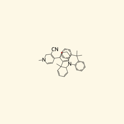 CN1C=CC(C2=CCCC=C2C2(C)C=CC=CC2N2c3ccccc3C(C)(C)c3ccccc32)=C(C#N)C1